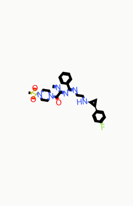 C=N/C(=N\C(=N/CCN[C@@H]1C[C@H]1c1ccc(F)cc1)c1ccccc1)C(=O)N1CCN(S(C)(=O)=O)CC1